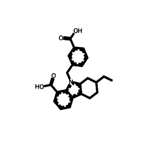 CCC1CCc2c(n(Cc3cccc(C(=O)O)c3)c3c(C(=O)O)cccc23)C1